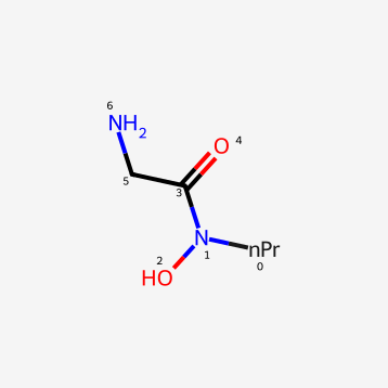 CCCN(O)C(=O)CN